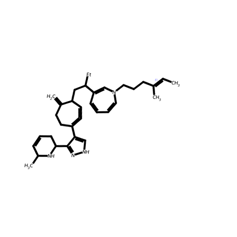 C=C1CCC(c2c[nH]nc2C2CC=CC(C)N2)=C=CC1CC(CC)C1=CN(CCC/C(C)=C/C)C=CC=C1